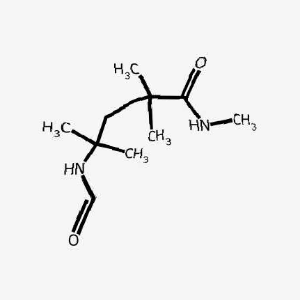 CNC(=O)C(C)(C)CC(C)(C)NC=O